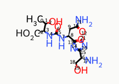 CC(O)[C@@H](NC(=O)N[C@@H](CC(N)=O)c1nc([C@H](N)CO)no1)C(=O)O